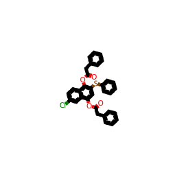 O=C(Cc1ccccc1)Oc1cc(Sc2ccccc2)c(OC(=O)Cc2ccccc2)c2ccc(Cl)cc12